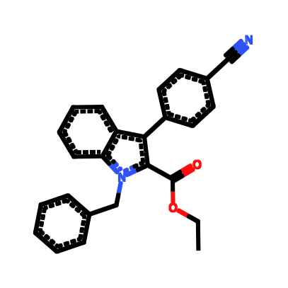 CCOC(=O)c1c(-c2ccc(C#N)cc2)c2ccccc2n1Cc1ccccc1